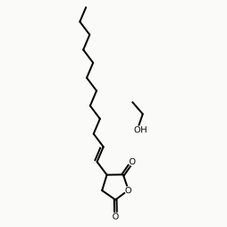 CCCCCCCCCCC=CC1CC(=O)OC1=O.CCO